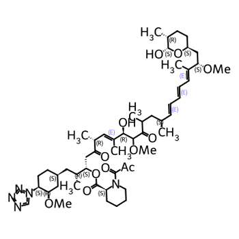 COC(C(=O)C(C)C[C@H](C)/C=C/C=C/C=C(\C)[C@H](C[C@@H]1CC[C@@H](C)[C@@H](O)O1)OC)[C@H](O)/C(C)=C/[C@@H](C)C(=O)C[C@H](OC(=O)[C@@H]1CCCCN1C(=O)C(C)=O)[C@H](C)C[C@@H]1CC[C@H](n2cnnn2)[C@H](OC)C1